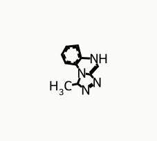 CC1N=NC2=CNc3ccccc3N21